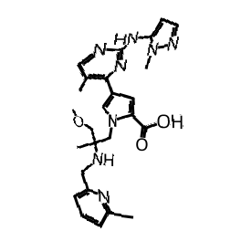 COCC(C)(Cn1cc(-c2nc(Nc3ccnn3C)ncc2C)cc1C(=O)O)NCc1cccc(C)n1